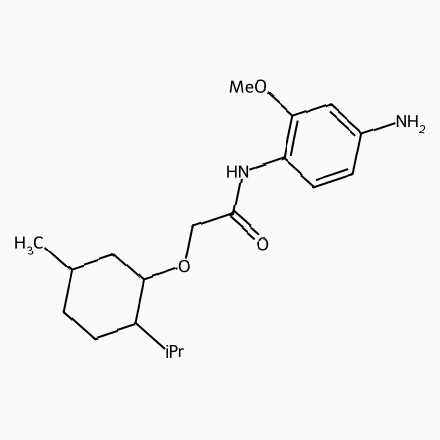 COc1cc(N)ccc1NC(=O)COC1CC(C)CCC1C(C)C